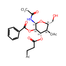 CC(=O)CCC(=O)O[C@@H]1[C@@H](OC(=O)c2ccccc2)[C@@H](NC(=O)C(Cl)(Cl)Cl)O[C@H](CO)[C@H]1OC(C)=O